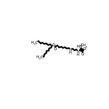 CCCCCCCCC(CCCCCCCC)OC(=O)CCCCCCCNCCCNc1c(NC)c(=O)c1=O